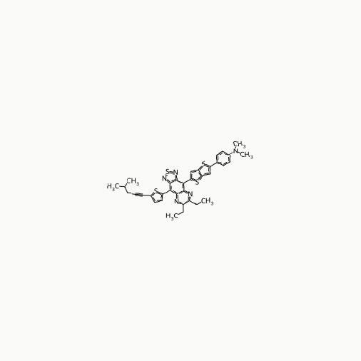 CCc1nc2c(-c3ccc(C#CCC(C)C)s3)c3nsnc3c(-c3cc4sc(-c5ccc(N(C)C)cc5)cc4s3)c2nc1CC